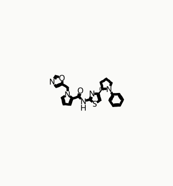 O=C(Nc1nc([C@H]2CCCN2c2ccccc2)cs1)c1cccn1Cc1cnco1